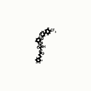 O=C(COC(=O)/C=C/c1ccccc1)Nc1nc2c(Oc3cc(-c4ccc(C(F)(F)F)cc4)ncn3)cccc2s1